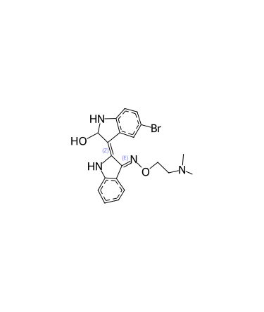 CN(C)CCO/N=C1/C(=C2\c3cc(Br)ccc3NC2O)Nc2ccccc21